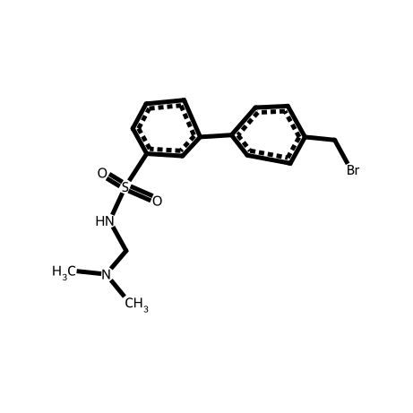 CN(C)CNS(=O)(=O)c1cccc(-c2ccc(CBr)cc2)c1